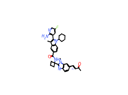 CC(=O)/C=C/c1ccc2nc(C3(NC(=O)c4ccc5c(c4)c(C)c(-c4cc(F)cnc4N)n5C4CCCCC4)CCC3)n(C)c2c1